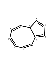 [C]1=C/C=C\C=C/C2C=CC=C\12